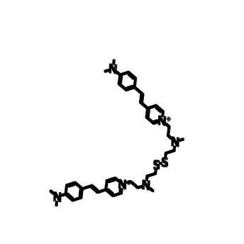 CN(CCSSCCN(C)CC[n+]1ccc(/C=C/c2ccc(N(C)C)cc2)cc1)CC[n+]1ccc(/C=C/c2ccc(N(C)C)cc2)cc1